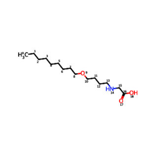 CCCCCCCCCOCCCCNCC(=O)O